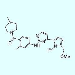 COCc1ncc(-c2ccnc(Nc3ccc(C(=O)N4CCN(C)CC4)c(C)c3)n2)n1C(C)C